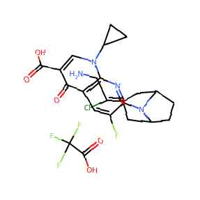 NCC(Cl)=C1CC2CCC(C1)N2c1nc2c(cc1F)c(=O)c(C(=O)O)cn2C1CC1.O=C(O)C(F)(F)F